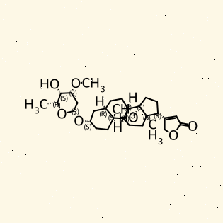 CO[C@@H]1C[C@H](O[C@H]2CC[C@@]3(C)[C@H](CC[C@@H]4[C@@H]3CC[C@]3(C)[C@@H](C5=CC(=O)OC5)CC[C@]43O)C2)O[C@H](C)[C@@H]1O